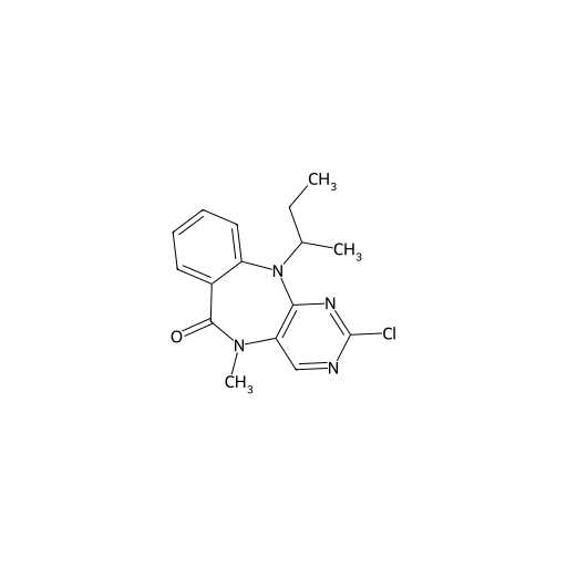 CCC(C)N1c2ccccc2C(=O)N(C)c2cnc(Cl)nc21